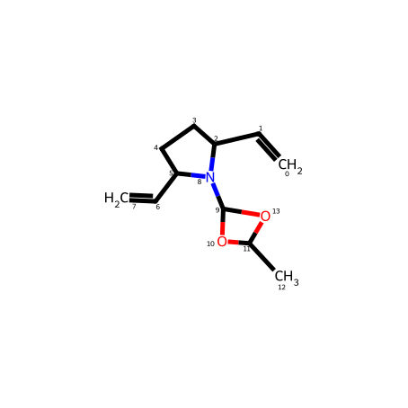 C=CC1CCC(C=C)N1C1OC(C)O1